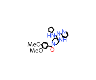 COc1ccc(C(=O)N2CCC3(CC2)Nc2cccnc2N=C3NC2CCCC2)cc1OC